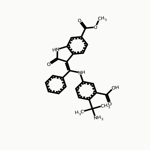 COC(=O)c1ccc2c(c1)NC(=O)C2=C(Nc1ccc(C(C)(C)N)c(C(=O)O)c1)c1ccccc1